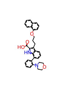 O=C(O)c1[nH]c2c(-c3ccccc3N3CCOCC3)cccc2c1CCCOc1cccc2ccccc12